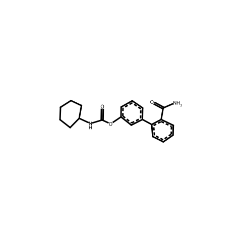 NC(=O)c1ccccc1-c1cccc(OC(=O)NC2CCCCC2)c1